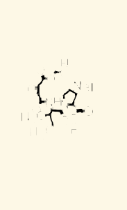 CCOC(=O)C1OC1C(=O)N[C@H](C(=O)N1CCC[C@H]1C(=O)O)C(C)CC.[NaH]